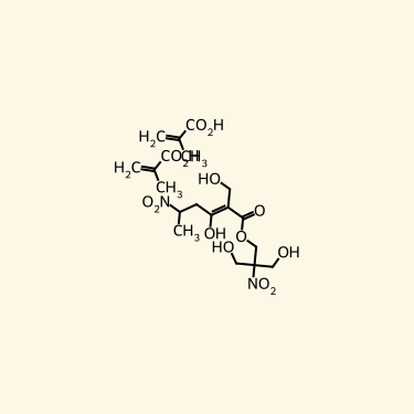 C=C(C)C(=O)O.C=C(C)C(=O)O.CC(CC(O)=C(CO)C(=O)OCC(CO)(CO)[N+](=O)[O-])[N+](=O)[O-]